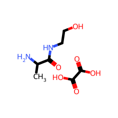 CC(N)C(=O)NCCO.O=C(O)C(=O)O